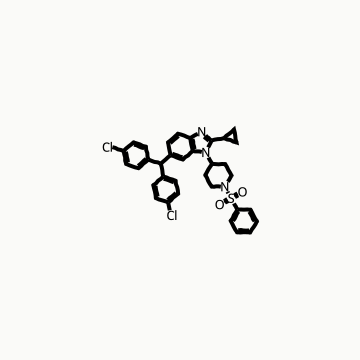 O=S(=O)(c1ccccc1)N1CCC(n2c(C3CC3)nc3ccc(C(c4ccc(Cl)cc4)c4ccc(Cl)cc4)cc32)CC1